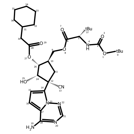 CC(C)(C)OC(=O)N[C@H](C(=O)OC[C@H]1C[C@@](C#N)(c2ccc3c(N)ncnn23)[C@H](O)[C@@H]1OC(=O)CC1CCCCC1)C(C)(C)C